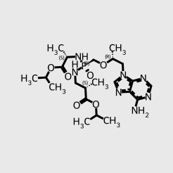 CC(C)OC(=O)[C@H](C)N[P@@](=O)(CO[C@H](C)Cn1cnc2c(N)ncnc21)NC[C@H](C)C(=O)OC(C)C